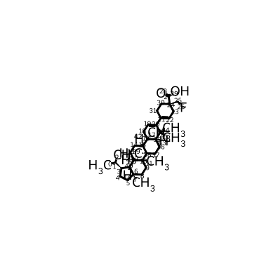 CC(C)[C@@H]1CC[C@]2(C)CC[C@]3(C)[C@H](CC[C@@H]4[C@@]5(C)CC=C(C6=CC[C@@](CF)(C(=O)O)CC6)C(C)(C)[C@@H]5CC[C@]43C)[C@@H]12